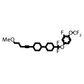 COCCCC#CC1CCC(C2CCC(C(F)(F)Oc3ccc(OC(F)(F)F)c(F)c3)CC2)CC1